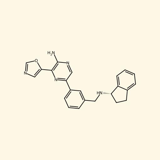 Nc1ncc(-c2cccc(CN[C@H]3CCc4ccccc43)c2)nc1-c1cnco1